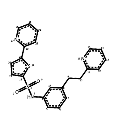 O=S(=O)(Nc1cccc(CCc2ccccn2)c1)c1ccc(-c2ccccn2)s1